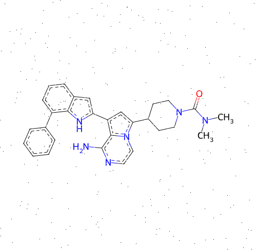 CN(C)C(=O)N1CCC(c2cc(-c3cc4cccc(-c5ccccc5)c4[nH]3)c3c(N)nccn23)CC1